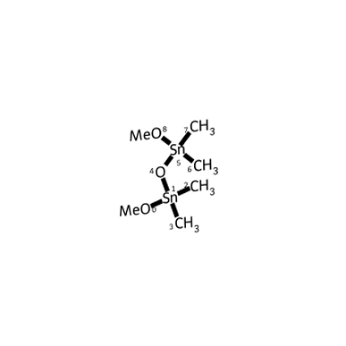 C[O][Sn]([CH3])([CH3])[O][Sn]([CH3])([CH3])[O]C